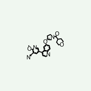 COc1ncc(-c2ccnc3ccc(O[C@H]4CCN(C(=O)C5CCOCC5)C4)cc23)cc1C#N